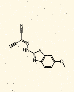 COc1ccc2nc(NN=C(C#N)C#N)sc2c1